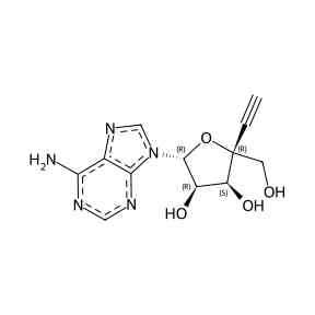 C#C[C@]1(CO)O[C@@H](n2cnc3c(N)ncnc32)[C@H](O)[C@@H]1O